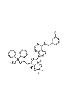 CN(Cc1cccc(F)c1)c1ncnc2c1ncn2[C@@H]1O[C@H](CCO[Si](c2ccccc2)(c2ccccc2)C(C)(C)C)[C@H]2OC(C)(C)O[C@H]21